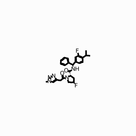 CC(C)c1ccc([C@@H](NC(=O)[C@@H]2C[C@@H](F)CN2C(=O)Cc2cn(C)nn2)c2ccccc2)cc1F